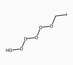 OOOOOOCI